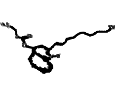 CCCCCCCC=Cc1cc(OC(=O)OCC)c2ccccc2[n+]1[O-]